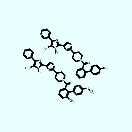 CCn1c(-c2csc(C3CCN(C(=O)c4cccc(C)c4-c4ccc(OC(F)(F)F)cc4)CC3)n2)nc(-c2ccccc2)c1C.CCn1c(-c2csc(C3CCN(C(=O)c4ccccc4-c4ccc(C(F)(F)F)cc4)CC3)n2)nc(-c2cccnc2)c1C